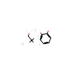 CC(C)(C)CO.Oc1ccccc1O